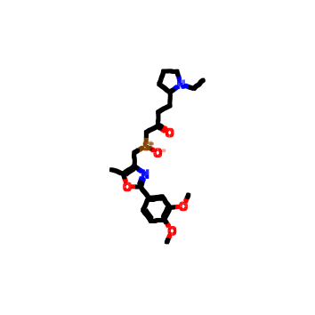 CCN1CCCC1CCC(=O)C[S+]([O-])Cc1nc(-c2ccc(OC)c(OC)c2)oc1C